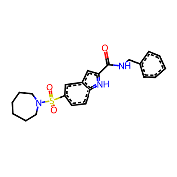 O=C(NCc1ccccc1)c1cc2cc(S(=O)(=O)N3CCCCCC3)ccc2[nH]1